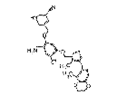 Cc1c(COc2cc(OCC3=CC(C#N)=CNC3)c(CN)cc2Cl)cccc1-c1ccc2c(c1C)OCCO2